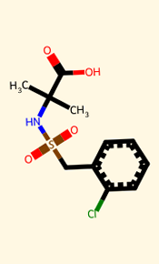 CC(C)(NS(=O)(=O)Cc1ccccc1Cl)C(=O)O